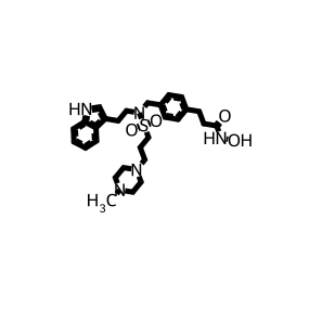 CN1CCN(CCCS(=O)(=O)N(CCc2c[nH]c3ccccc23)Cc2ccc(CCC(=O)NO)cc2)CC1